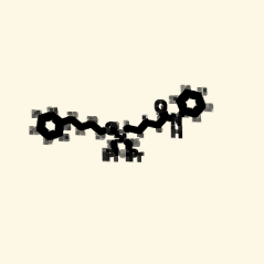 CC(C)C[Si](CCCCC(=O)Nc1ccccc1)(CC(C)C)OCCCCc1ccccc1